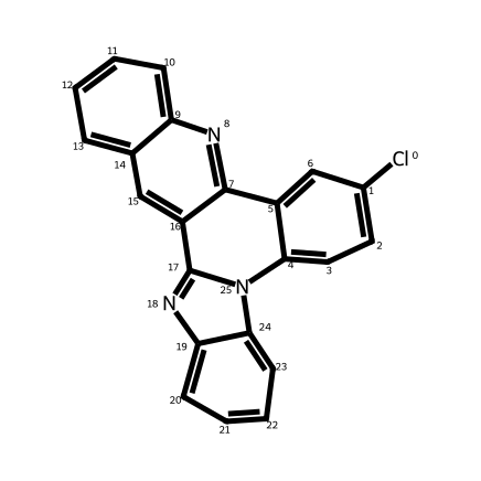 Clc1ccc2c(c1)c1nc3ccccc3cc1c1nc3ccccc3n21